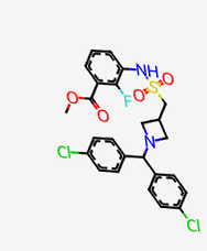 COC(=O)c1cccc(NS(=O)(=O)CC2CN(C(c3ccc(Cl)cc3)c3ccc(Cl)cc3)C2)c1F